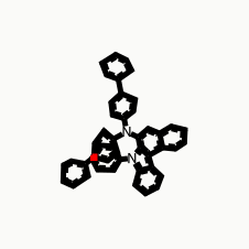 c1ccc(-c2ccc(N(c3ccc(-c4ccccc4)cc3)c3cc4ccccc4c4c5ccccc5n(-c5ccccc5)c34)cc2)cc1